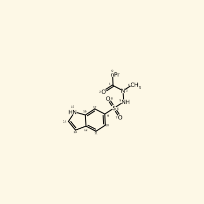 CCCC(=O)N(C)NS(=O)(=O)c1ccc2cc[nH]c2c1